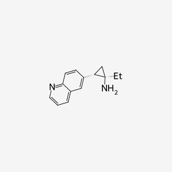 CC[C@@]1(N)C[C@H]1c1ccc2ncccc2c1